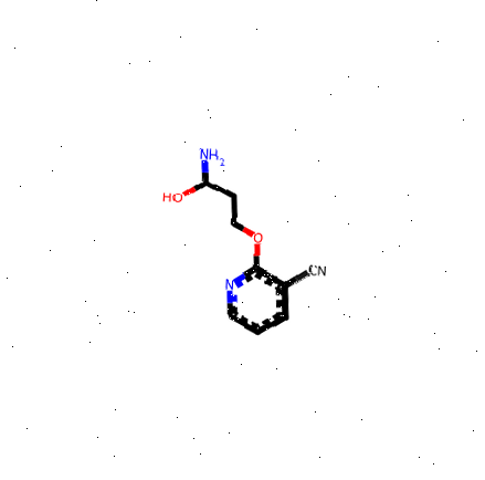 N#Cc1cccnc1OCCC(N)O